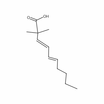 CCCCC=CC=CC(C)(C)C(=O)O